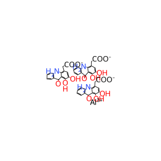 Nc1c(CC(=O)[O-])cc(O)c(O)c1C(=O)c1ccccc1.Nc1c(CC(=O)[O-])cc(O)c(O)c1C(=O)c1ccccc1.Nc1c(CC(=O)[O-])cc(O)c(O)c1C(=O)c1ccccc1.[Al+3]